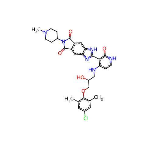 Cc1cc(Cl)cc(C)c1OCC(O)CNc1cc[nH]c(=O)c1-c1nc2cc3c(cc2[nH]1)C(=O)N(C1CCN(C)CC1)C3=O